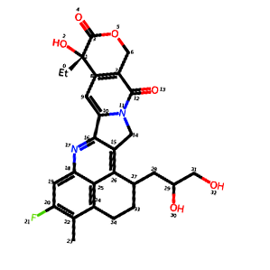 CC[C@@]1(O)C(=O)OCc2c1cc1n(c2=O)Cc2c-1nc1cc(F)c(C)c3c1c2C(CC(O)CO)CC3